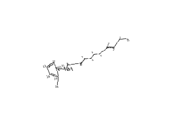 CCCCCCCCCCNn1cccc1C